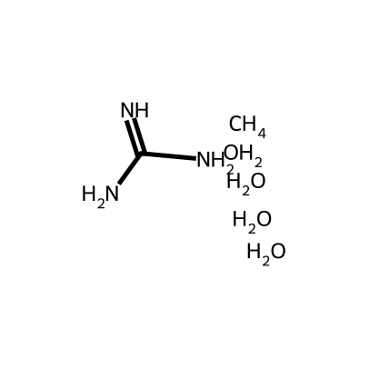 C.N=C(N)N.O.O.O.O